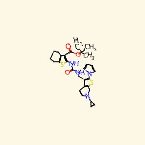 CC(C)(C)OC(=O)c1c(NC(=O)NCc2c(-n3cccc3)sc3c2CCN(C2CC2)C3)sc2c1CCCC2